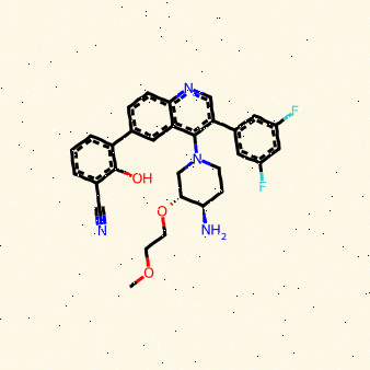 COCCO[C@@H]1CN(c2c(-c3cc(F)cc(F)c3)cnc3ccc(-c4cccc(C#N)c4O)cc23)CC[C@H]1N